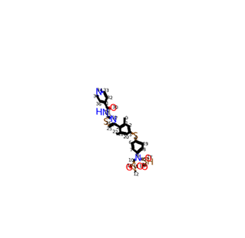 Cc1cc(Sc2ccc(N(CS(C)(=O)=O)[SH](=O)=O)cc2)cc(C)c1-c1csc(NC(=O)c2ccncc2)n1